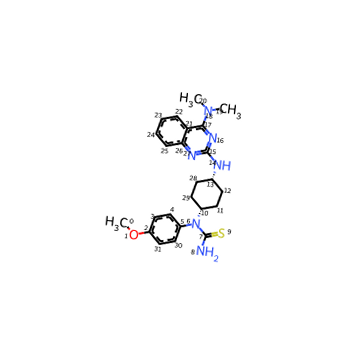 COc1ccc(N(C(N)=S)[C@H]2CC[C@@H](Nc3nc(N(C)C)c4ccccc4n3)CC2)cc1